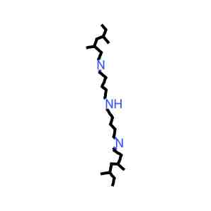 CCC(C)CC(C)CC=NCCCCCNCCCCCN=CCC(C)CC(C)CC